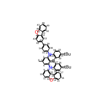 Cc1cc2c3c(c1)N(c1cccc4oc5ccccc5c14)c1ccc(C(C)(C)C)cc1B3c1cc(C(C)(C)C)ccc1N2c1ccc(-c2ccc3oc4ccccc4c3c2)cc1